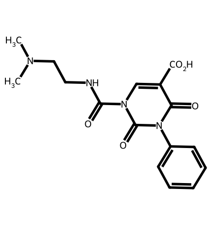 CN(C)CCNC(=O)n1cc(C(=O)O)c(=O)n(-c2ccccc2)c1=O